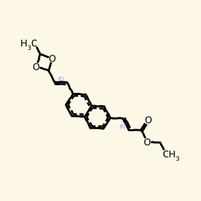 CCOC(=O)/C=C/c1ccc2ccc(/C=C/C3OC(C)O3)cc2c1